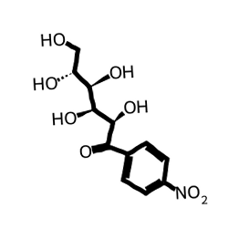 O=C(c1ccc([N+](=O)[O-])cc1)[C@H](O)[C@@H](O)[C@H](O)[C@H](O)CO